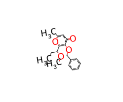 CCC(OC)c1oc(C)cc(=O)c1OCc1ccccc1